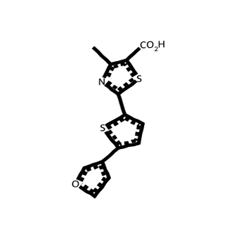 Cc1nc(-c2ccc(-c3ccoc3)s2)sc1C(=O)O